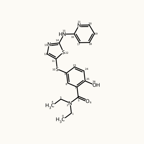 CCN(CC)C(=O)c1cc(Sc2cnc(Nc3ccccn3)s2)ccc1O